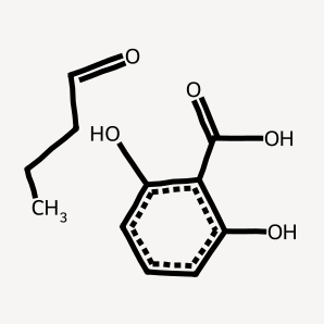 CCCC=O.O=C(O)c1c(O)cccc1O